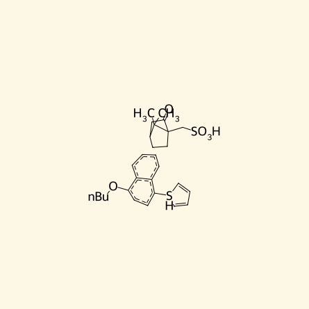 CC1(C)C2CCC1(CS(=O)(=O)O)C(=O)C2.CCCCOc1ccc([SH]2C=CC=C2)c2ccccc12